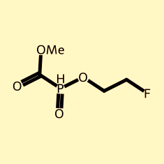 COC(=O)[PH](=O)OCCF